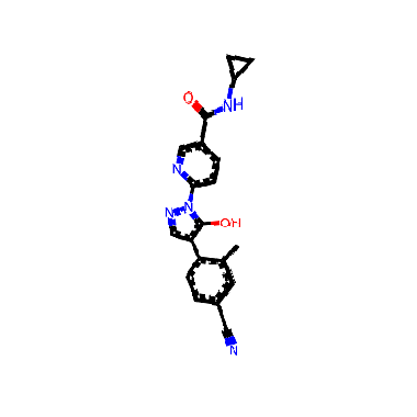 Cc1cc(C#N)ccc1-c1cnn(-c2ccc(C(=O)NC3CC3)cn2)c1O